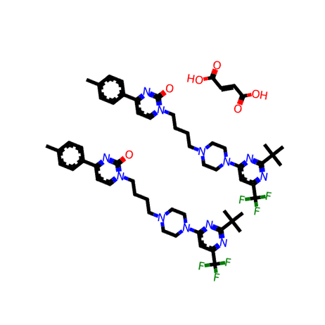 Cc1ccc(-c2ccn(CCCCN3CCN(c4cc(C(F)(F)F)nc(C(C)(C)C)n4)CC3)c(=O)n2)cc1.Cc1ccc(-c2ccn(CCCCN3CCN(c4cc(C(F)(F)F)nc(C(C)(C)C)n4)CC3)c(=O)n2)cc1.O=C(O)C=CC(=O)O